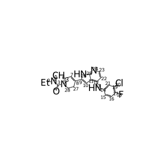 CCN(C)C(=O)N1CC=C(c2cc3c(Nc4ccc(F)c(Cl)c4)ccnc3[nH]2)CC1